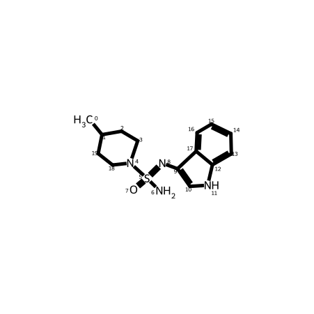 CC1CCN(S(N)(=O)=Nc2c[nH]c3ccccc23)CC1